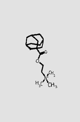 C[N+](C)(C)CCOC(=O)C12CC3CC(CC(C3)C1)C2